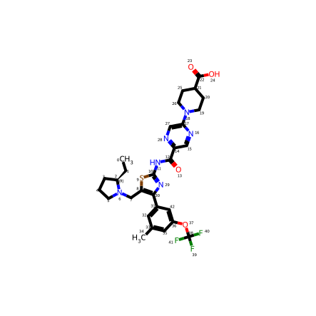 CC[C@@H]1CCCN1Cc1sc(NC(=O)c2cnc(N3CCC(C(=O)O)CC3)cn2)nc1-c1cc(C)cc(OC(F)(F)F)c1